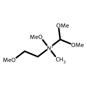 COCC[N+](C)(OC)C(OC)OC